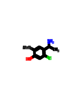 COc1cc(C(C)N)c(Cl)cc1O